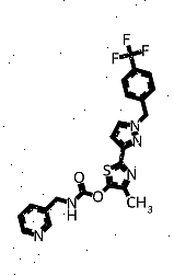 Cc1nc(-c2ccn(Cc3ccc(C(F)(F)F)cc3)n2)sc1OC(=O)NCc1cccnc1